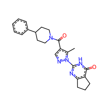 Cc1c(C(=O)N2CCC(c3ccccc3)CC2)cnn1-c1nc2c(c(=O)[nH]1)CCC2